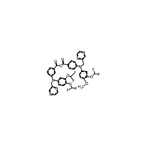 COc1ccc(N(Cc2cnccn2)c2ccc(C(=O)OC(=O)c3cccc(N(Cc4cnccn4)c4ccc(OC(F)F)c(OC(F)F)c4)c3)cc2)cc1OC(F)F